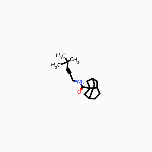 CC(C)(C)C#CCNC(=O)C12CC3CCC1CC(C3)C2